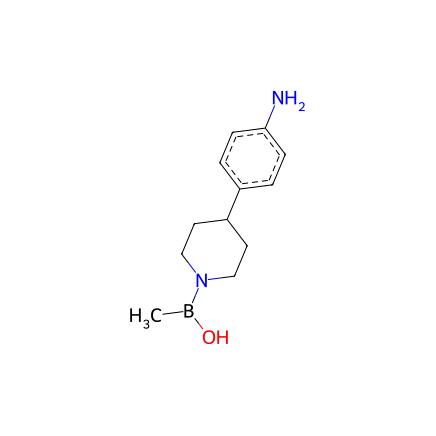 CB(O)N1CCC(c2ccc(N)cc2)CC1